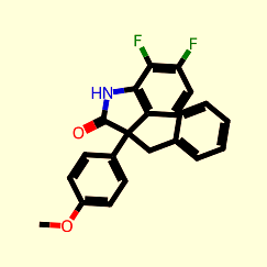 COc1ccc(C2(Cc3ccccc3)C(=O)Nc3c2ccc(F)c3F)cc1